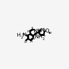 COc1ccc(C2(N)NC=Cc3c2ccc(C)c3N)cn1